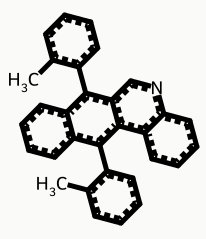 Cc1ccccc1-c1c2ccccc2c(-c2ccccc2C)c2c1cnc1ccccc12